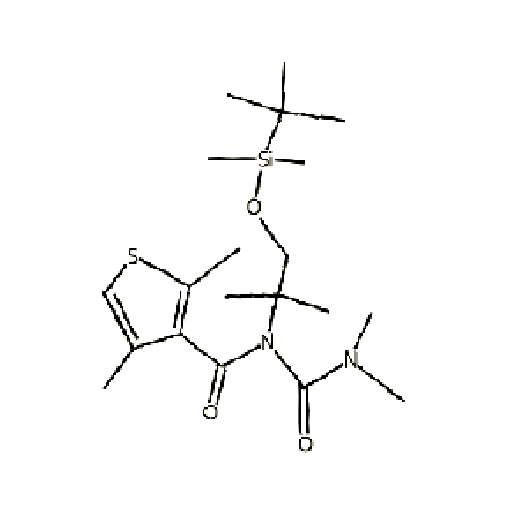 Cc1csc(C)c1C(=O)N(C(=O)N(C)C)C(C)(C)CO[Si](C)(C)C(C)(C)C